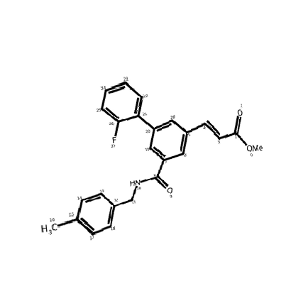 COC(=O)/C=C/c1cc(C(=O)NCc2ccc(C)cc2)cc(-c2ccccc2F)c1